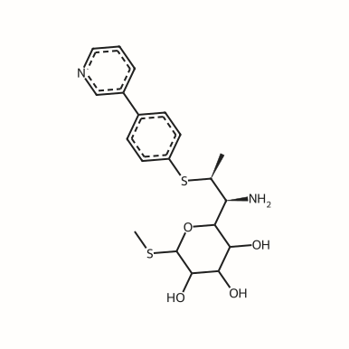 CSC1OC([C@H](N)[C@H](C)Sc2ccc(-c3cccnc3)cc2)C(O)C(O)C1O